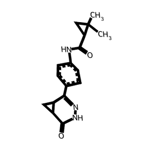 CC1(C)CC1C(=O)Nc1ccc(C2=NNC(=O)C3CC23)cc1